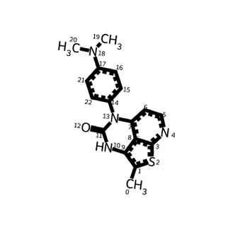 Cc1sc2nccc3c2c1NC(=O)N3c1ccc(N(C)C)cc1